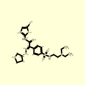 CCN(CC)CCNS(=O)(=O)c1ccc(/C(=N\O[C@@H]2CCOC2)C(=O)Nc2ncc(F)s2)cc1